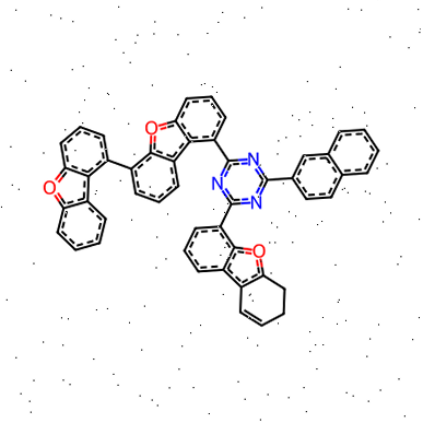 C1=Cc2c(oc3c(-c4nc(-c5ccc6ccccc6c5)nc(-c5cccc6oc7c(-c8cccc9oc%10ccccc%10c89)cccc7c56)n4)cccc23)CC1